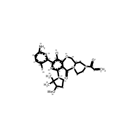 C=CC(=O)N1CCN2C(=O)c3c(N4CCC(OC)C4(C)C)nc(-c4nc(N)ccc4F)c(Cl)c3OCC2C1